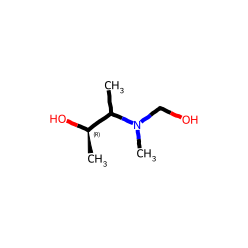 CC([C@@H](C)O)N(C)CO